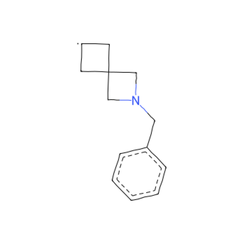 [CH]1CC2(C1)CN(Cc1ccccc1)C2